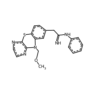 COCN1c2cc(CC(=N)Nc3ccccc3)ccc2Sc2nccnc21